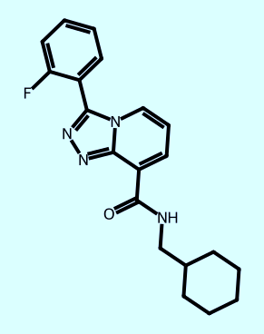 O=C(NCC1CCCCC1)c1cccn2c(-c3ccccc3F)nnc12